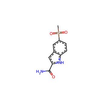 CS(=O)(=O)c1ccc2[nH]c(C(N)=O)cc2c1